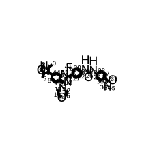 CC1=NOC(C)C1c1ccc2c(N3CCOCC3)nc(-c3ccc(NC(=O)Nc4ccc(C(=O)N(C)C)cc4)cc3F)nc2c1